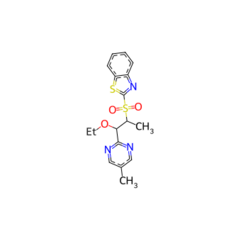 CCOC(c1ncc(C)cn1)C(C)S(=O)(=O)c1nc2ccccc2s1